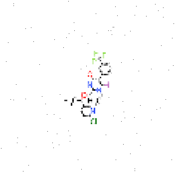 CCn1c(COC(C)c2ccc(Cl)nc2)nc(=O)c(-c2cccc(C(F)(F)F)c2)c1I